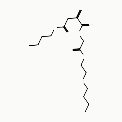 C=C(CC(=O)OCCCC)C(=O)OCC(=O)OCCOCCCC